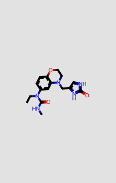 CCN(C(=O)NC)c1ccc2c(c1)N(Cc1c[nH]c(=O)[nH]1)CCO2